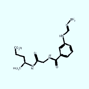 NN=CNc1cccc(C(=O)NCC(=O)NC(CCC(=O)O)C(=O)O)c1